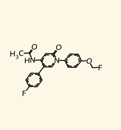 CC(=O)Nc1cc(=O)n(-c2ccc(OCF)cc2)cc1-c1ccc(F)cc1